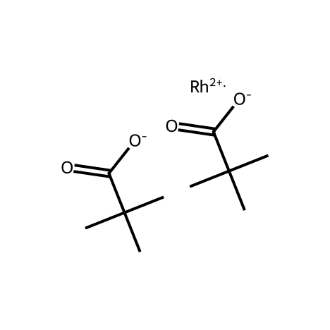 CC(C)(C)C(=O)[O-].CC(C)(C)C(=O)[O-].[Rh+2]